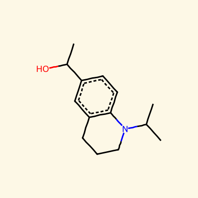 CC(O)c1ccc2c(c1)CCCN2C(C)C